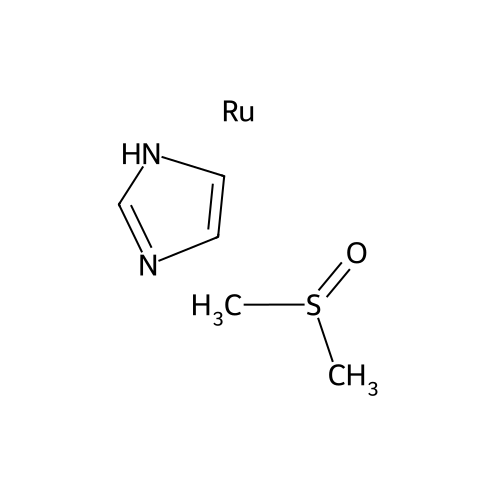 CS(C)=O.[Ru].c1c[nH]cn1